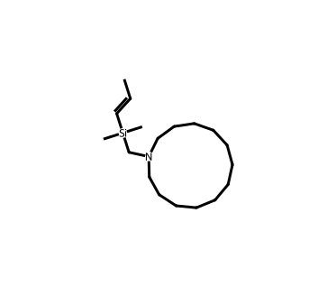 CC=C[Si](C)(C)CN1CCCCCCCCCCCC1